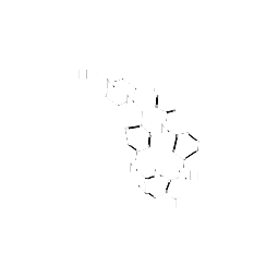 C=CC(=O)Nc1cccc(Nc2nc(Nc3ccc(CN4CCN(C)CC4)cc3)ncc2F)c1